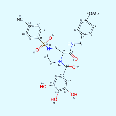 COc1ccc(CNC(=O)C2CN(S(=O)(=O)c3ccc(C#N)cc3)CCN2C(=O)c2cc(O)c(O)c(O)c2)cc1